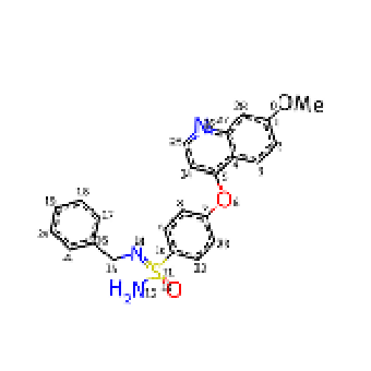 COc1ccc2c(Oc3ccc(S(N)(=O)=NCc4ccccc4)cc3)ccnc2c1